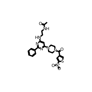 CC(=O)NCCNc1cc(N2CCN(C(=O)c3csc([N+](=O)[O-])c3)CC2)nc(-c2ccccc2)n1